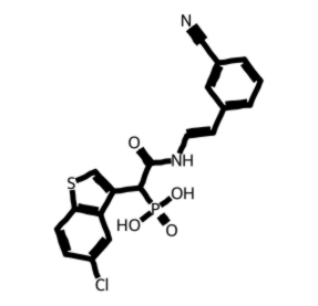 N#Cc1cccc(C=CNC(=O)C(c2csc3ccc(Cl)cc23)P(=O)(O)O)c1